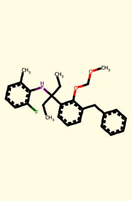 CCC(CC)(Pc1c(C)cccc1F)c1cccc(Cc2ccccc2)c1OCOC